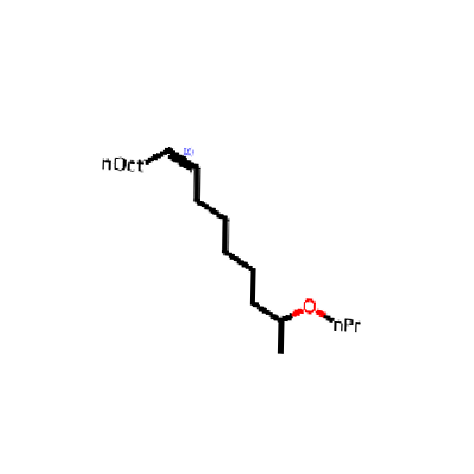 CCCCCCCC/C=C\CCCCCC(C)OCCC